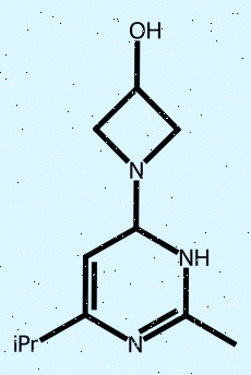 CC1=NC(C(C)C)=CC(N2CC(O)C2)N1